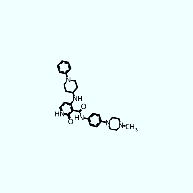 CN1CCN(c2ccc(NC(=O)c3c(NC4CCN(c5ccccc5)CC4)cc[nH]c3=O)cc2)CC1